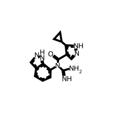 N=C(N)N(C(=O)c1cn[nH]c1C1CC1)c1cccc2cn[nH]c12